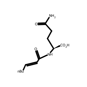 CCCCC=CC(=O)N[C@@H](CCC(N)=O)C(=O)O